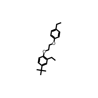 CCc1ccc(OCCOc2ccc(C(C)(C)C)cc2CC)cc1